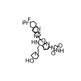 CC(C)[C@]1(F)CCc2nc3sc(C(=O)N[C@H](CCN4CCC(O)CC4)c4ccc(N5CC(=O)NC5=O)nc4)nc3cc2C1